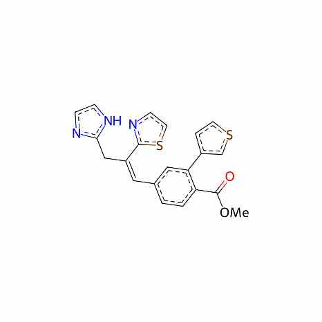 COC(=O)c1ccc(C=C(Cc2ncc[nH]2)c2nccs2)cc1-c1ccsc1